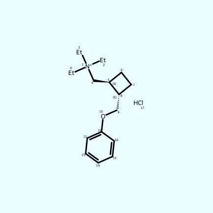 CC[N+](CC)(CC)C[C@H]1CC[C@@H]1COc1ccccc1.Cl